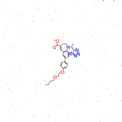 CCCCOCCOc1ccc(-c2ccc3c(c2)C=C(C(=O)OC)CCN3C(C)c2nnn[nH]2)cc1